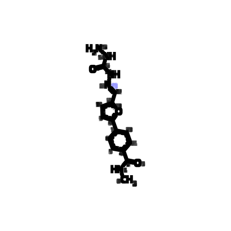 CNC(=O)c1ccc(-c2ccc(/C=N/NC(=O)NN)o2)cc1